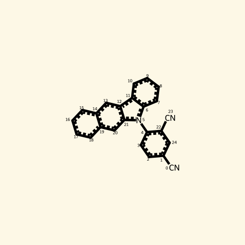 N#Cc1ccc(-n2c3ccccc3c3cc4ccccc4cc32)c(C#N)c1